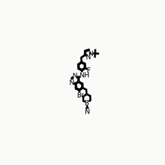 CC(C)(C)n1ccc(Cc2ccc(Nc3ncnc4cc(Br)c(CC5CCB(C#N)CC5)cc34)c(F)c2)n1